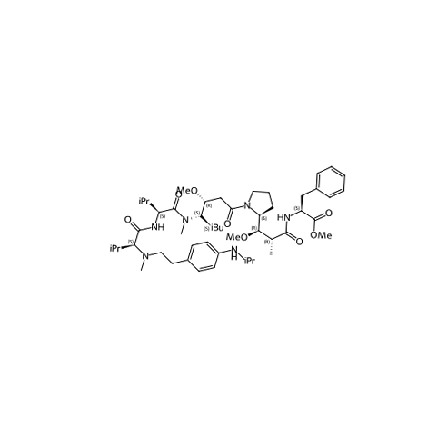 CC[C@H](C)[C@@H]([C@@H](CC(=O)N1CCC[C@H]1[C@H](OC)[C@@H](C)C(=O)N[C@@H](Cc1ccccc1)C(=O)OC)OC)N(C)C(=O)[C@@H](NC(=O)[C@H](C(C)C)N(C)CCc1ccc(NC(C)C)cc1)C(C)C